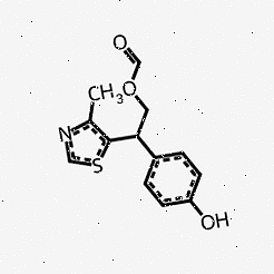 Cc1ncsc1C(COC=O)c1ccc(O)cc1